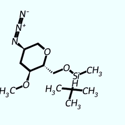 CO[C@H]1C[C@@H](N=[N+]=[N-])CO[C@@H]1CO[SiH](C)C(C)(C)C